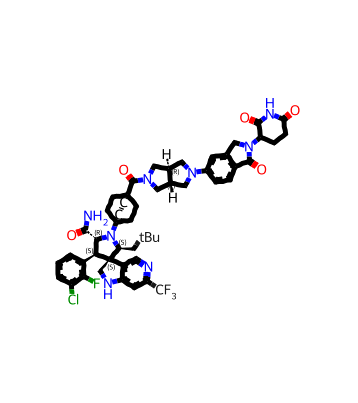 CC(C)(C)C[C@@H]1N(C23CCC(C(=O)N4C[C@H]5CN(c6ccc7c(c6)CN(C6CCC(=O)NC6=O)C7=O)C[C@@H]5C4)(CC2)CC3)[C@@H](C(N)=O)[C@H](c2cccc(Cl)c2F)[C@]12CNc1cc(C(F)(F)F)ncc12